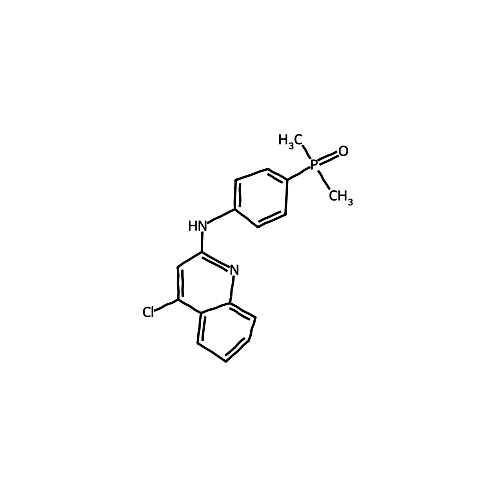 CP(C)(=O)c1ccc(Nc2cc(Cl)c3ccccc3n2)cc1